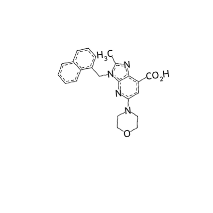 Cc1nc2c(C(=O)O)cc(N3CCOCC3)nc2n1Cc1cccc2ccccc12